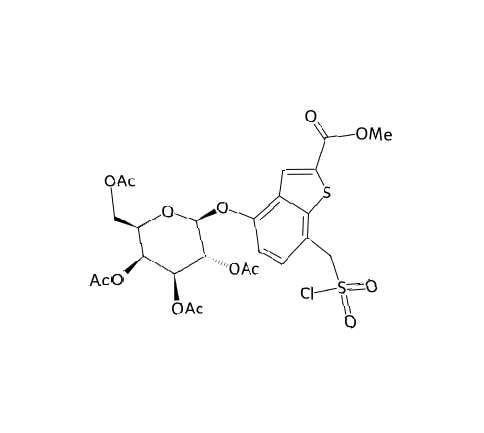 COC(=O)c1cc2c(O[C@@H]3O[C@H](COC(C)=O)[C@H](OC(C)=O)[C@H](OC(C)=O)[C@H]3OC(C)=O)ccc(CS(=O)(=O)Cl)c2s1